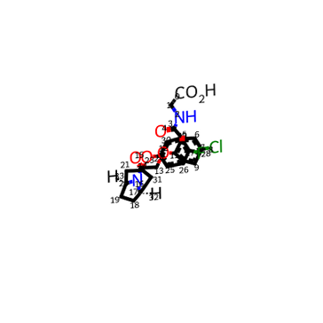 O=C(O)CNC(=O)c1cc(Cl)ccc1OCC(=O)N1[C@@H]2CC[C@H]1CC(Oc1ccc(F)cc1)C2